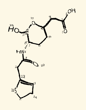 O=C(O)CC1CC[C@H](NC(=O)CC2=CCCS2)B(O)O1